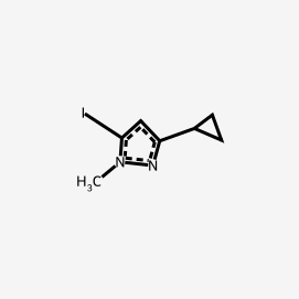 Cn1nc(C2CC2)cc1I